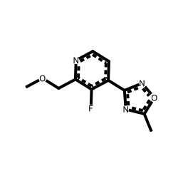 COCc1nccc(-c2noc(C)n2)c1F